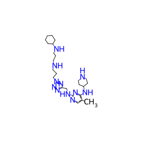 Cc1cnc(NCc2nnn(CCCNCCCNC3CCCCC3)n2)nc1NC1CCNCC1